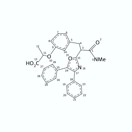 CNC(=O)C(Cc1cccc(OC(C)C(=O)O)c1)c1nc(-c2ccccc2)c(-c2ccccc2)o1